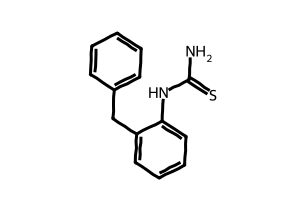 NC(=S)Nc1ccccc1Cc1ccccc1